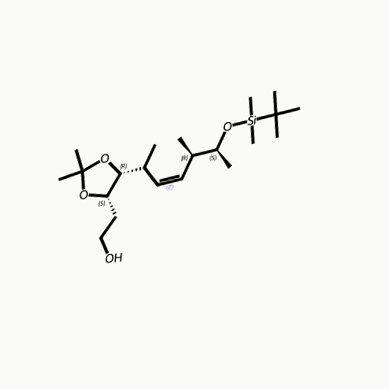 CC(/C=C\[C@@H](C)[C@H](C)O[Si](C)(C)C(C)(C)C)[C@H]1OC(C)(C)O[C@H]1CCO